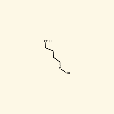 CC(C)(C)OCCCCC(=O)O